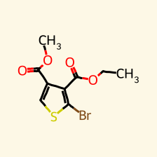 CCOC(=O)c1c(C(=O)OC)csc1Br